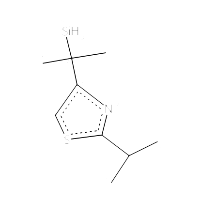 CC(C)c1nc(C(C)(C)[SiH3])cs1